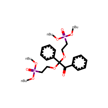 CCCCOP(=O)(CCOC(OCCP(=O)(OCCCC)OCCCC)(C(=O)c1ccccc1)c1ccccc1)OCCCC